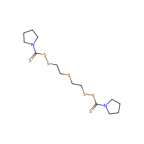 S=C(SSCCSCCSSC(=S)N1CCCC1)N1CCCC1